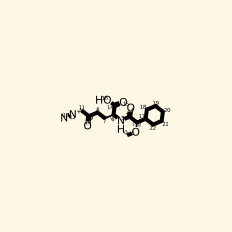 CO[C@H](C(=O)N[C@@H](CCC(=O)C=[N+]=[N-])C(=O)O)C1CCCCC1